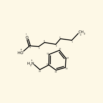 CCCCCCC(=O)O.NCc1ccccc1